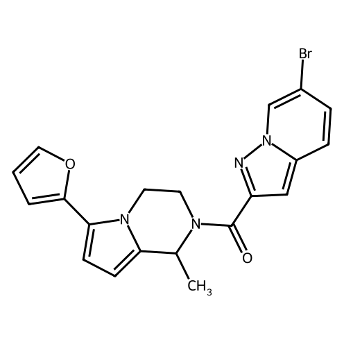 CC1c2ccc(-c3ccco3)n2CCN1C(=O)c1cc2ccc(Br)cn2n1